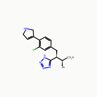 CC(C)[C@H](C(=O)O)[C@H](Cc1ccc(C2=CCNC2)c(F)c1)c1nnn[nH]1